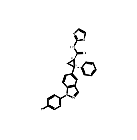 O=C(Nc1nccs1)[C@@H]1C[C@]1(c1ccccc1)c1ccc2c(cnn2-c2ccc(F)cc2)c1